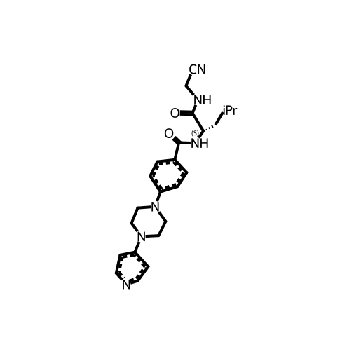 CC(C)C[C@H](NC(=O)c1ccc(N2CCN(c3ccncc3)CC2)cc1)C(=O)NCC#N